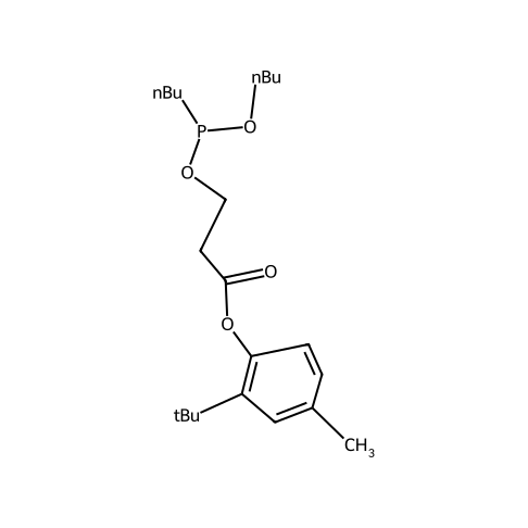 CCCCOP(CCCC)OCCC(=O)Oc1ccc(C)cc1C(C)(C)C